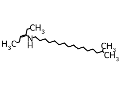 CC/C=C(/CC)NCCCCCCCCCCCCCCC(C)C